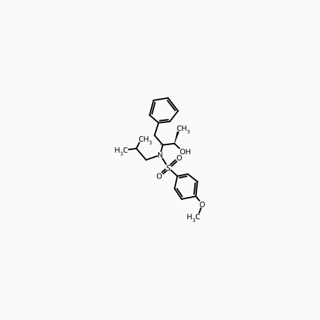 COc1ccc(S(=O)(=O)N(CC(C)C)[C](Cc2ccccc2)[C@@H](C)O)cc1